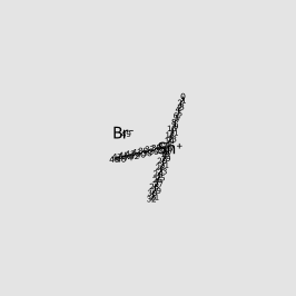 CCCCCCCCCCCCCCC[CH2][Sn+]([CH2]CCCCCCCCCCCCCCC)[CH2]CCCCCCCCCCCCCCC.[Br-]